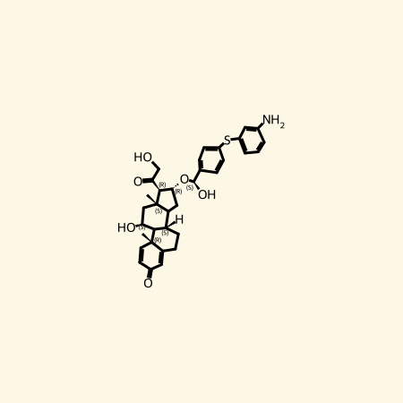 C[C@]12C=CC(=O)C=C1CC[C@@H]1C2[C@@H](O)C[C@@]2(C)C1C[C@@H](O[C@H](O)c1ccc(Sc3cccc(N)c3)cc1)[C@@H]2C(=O)CO